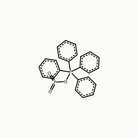 O=P(=O)OP(c1ccccc1)(c1ccccc1)(c1ccccc1)c1ccccc1